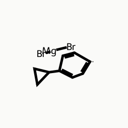 [Br][Mg][Br].[c]1ccc(C2CC2)cc1